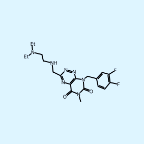 CCN(CC)CCNCc1nnc2c(n1)c(=O)n(C)c(=O)n2Cc1ccc(F)c(F)c1